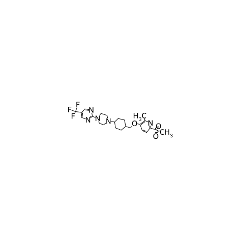 Cc1nc(S(C)(=O)=O)ccc1OCC1CCC(N2CCN(c3ncc(C(F)(F)F)cn3)CC2)CC1